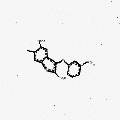 COc1cc2c(Oc3cccc(C(F)(F)F)c3)c(C(=O)O)sc2cc1C